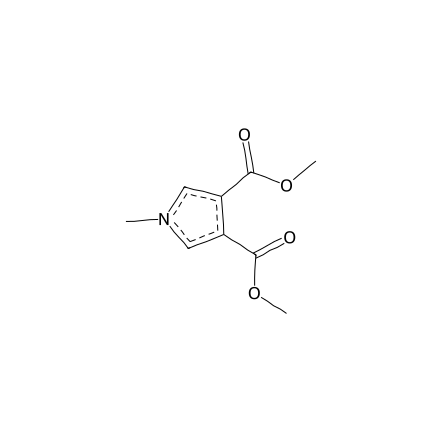 COC(=O)c1cn(C)cc1C(=O)OC